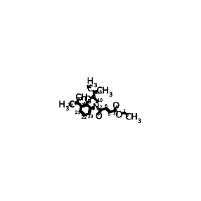 CCOC(=O)C=CC(=O)N1CC(C(C)C)Oc2c(C(C)C)cccc21